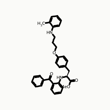 COC(=O)[C@H](Cc1ccc(OCCCNc2ccccc2C)cc1)Nc1ccccc1C(=O)c1ccccc1